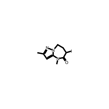 Cc1cc2n(n1)CCC(I)C(=O)N2C